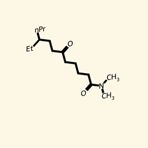 CCCC(CC)CCC(=O)CCCCC(=O)N(C)C